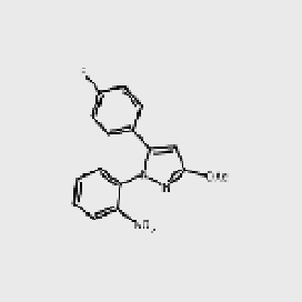 CC(=O)Oc1cc(-c2ccc(F)cc2)n(-c2ccccc2[N+](=O)[O-])n1